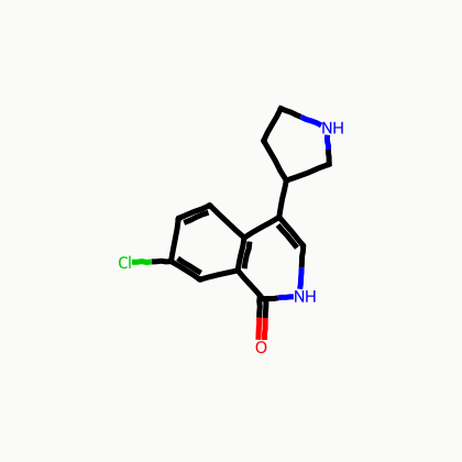 O=c1[nH]cc(C2CCNC2)c2ccc(Cl)cc12